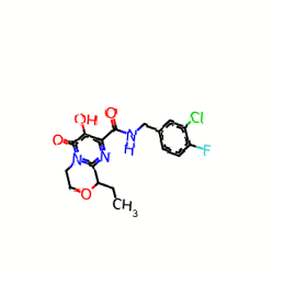 CCC1OCCn2c1nc(C(=O)NCc1ccc(F)c(Cl)c1)c(O)c2=O